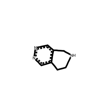 c1nncc2c1CCNC2